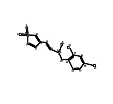 O=S1(=O)C=CC(/C=C/[S+]([O-])Cc2ccc(Cl)cc2Cl)=C1